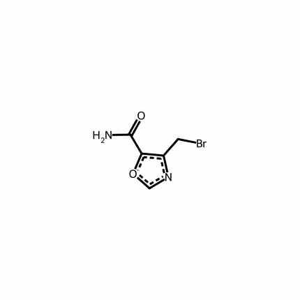 NC(=O)c1ocnc1CBr